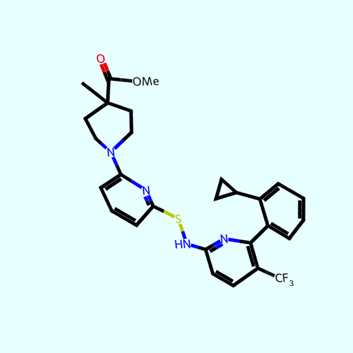 COC(=O)C1(C)CCN(c2cccc(SNc3ccc(C(F)(F)F)c(-c4ccccc4C4CC4)n3)n2)CC1